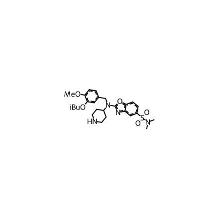 COc1ccc(CN(c2nc3cc(S(=O)(=O)N(C)C)ccc3o2)C2CCNCC2)cc1OCC(C)C